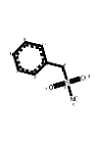 [C-]#[N+]S(=O)(=O)Cc1ccccc1